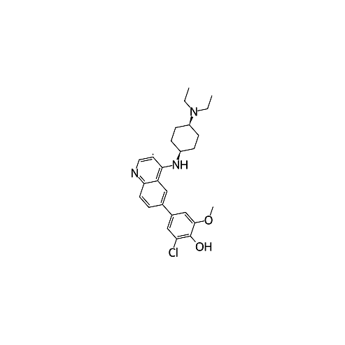 CCN(CC)[C@H]1CC[C@@H](Nc2[c]cnc3ccc(-c4cc(Cl)c(O)c(OC)c4)cc23)CC1